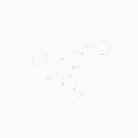 Cc1cccc(NC(=O)NC2CC(c3cccc(F)c3)c3ccccc3N(CC(=O)NC(C)(C)C)C2=O)c1